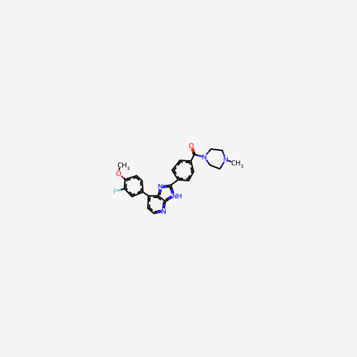 COc1ccc(-c2ccnc3[nH]c(-c4ccc(C(=O)N5CCN(C)CC5)cc4)nc23)cc1F